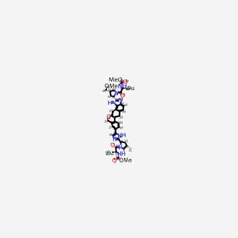 CCC(C)[C@H](NC(=O)OC)C(=O)N1C[C@@H](C)CC1c1ncc(-c2ccc3c(c2)COc2cc4c(ccc5nc([C@@H]6C[C@H](COC)CN6C(=O)[C@@H](NC(=O)OC)C(C)CC)[nH]c54)cc2-3)[nH]1